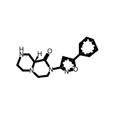 O=C1[C@H]2CNCCN2CCN1c1cc(-c2ccccc2)on1